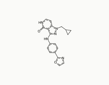 O=c1[nH]ccc2c1c(Nc1ccc(-c3ncco3)cc1)nn2CC1CC1